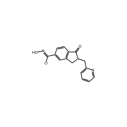 O=C1c2ccc(C(Cl)=NO)cc2CN1Cc1ccccn1